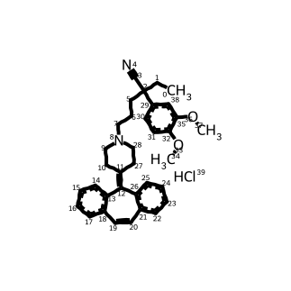 CCC(C#N)(CCCN1CCC(=C2c3ccccc3C=Cc3ccccc32)CC1)c1ccc(OC)c(OC)c1.Cl